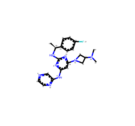 C[C@H](Nc1nc(Nc2cnccn2)cc(N2CC(N(C)C)C2)n1)c1ccc(F)cc1